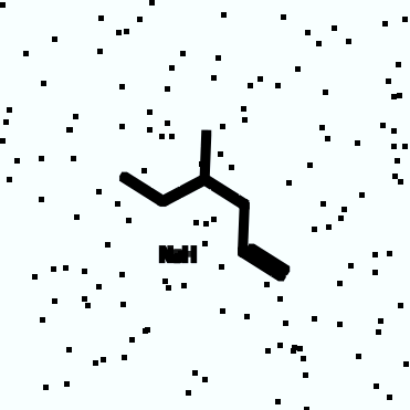 C=CCC(C)CC.[NaH]